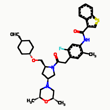 Cc1cc(CC(=O)N2C[C@@H](N3C[C@@H](C)O[C@@H](C)C3)C[C@H]2CO[C@H]2CC[C@H](C=O)CC2)c(F)cc1NC(=O)c1csc2ccccc12